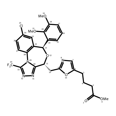 COC(=O)CCCc1cnc(C[C@H]2O[C@H](c3cccc(OC)c3OC)c3cc(Cl)ccc3-n3c2nnc3C(F)(F)F)o1